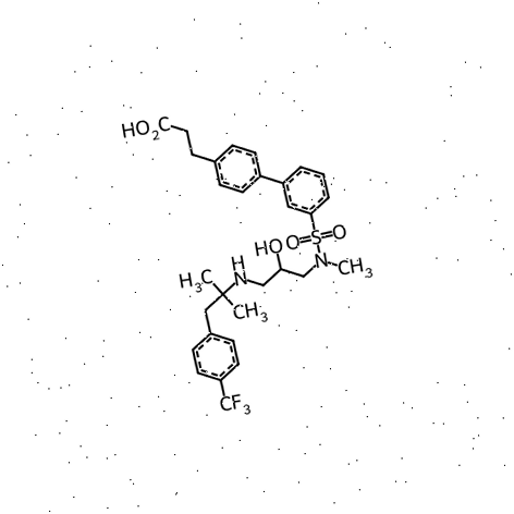 CN(CC(O)CNC(C)(C)Cc1ccc(C(F)(F)F)cc1)S(=O)(=O)c1cccc(-c2ccc(CCC(=O)O)cc2)c1